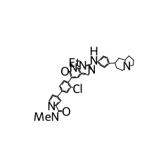 CCn1c(=O)c(-c2ccc(-c3ccnc(C(=O)NC)c3)cc2Cl)cc2cnc(Nc3ccc(C4CCN5CCCC5C4)cc3)nc21